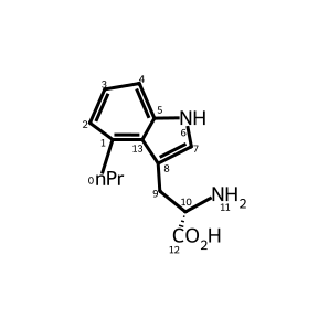 CCCc1cccc2[nH]cc(C[C@H](N)C(=O)O)c12